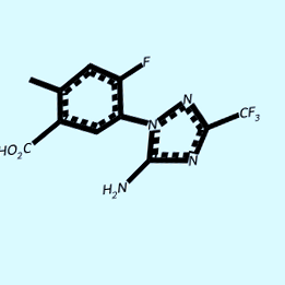 Cc1cc(F)c(-n2nc(C(F)(F)F)nc2N)cc1C(=O)O